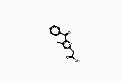 Cc1cc(CC(=O)O)sc1C(=O)c1ccccc1